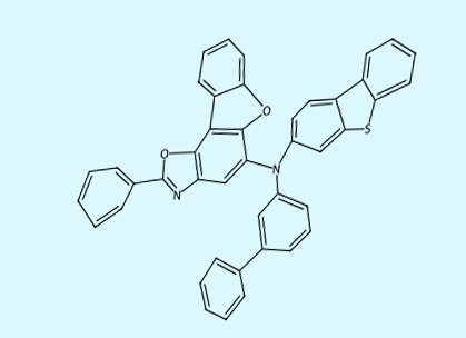 c1ccc(-c2cccc(N(c3ccc4c(c3)sc3ccccc34)c3cc4nc(-c5ccccc5)oc4c4c3oc3ccccc34)c2)cc1